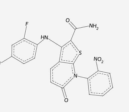 NC(=O)c1sc2c(ccc(=O)n2-c2ccccc2[N+](=O)[O-])c1Nc1ccc(F)cc1F